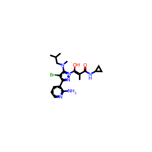 C/C(C(=O)NC1CC1)=C(/O)n1nc(-c2cccnc2N)c(Br)c1N(C)CC(C)C